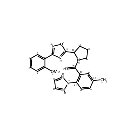 COc1ccccc1-c1noc(C2CCCN2C(=O)c2cc(C)ccc2-n2nccn2)n1